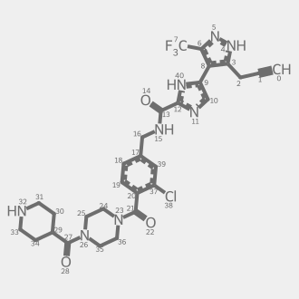 C#CCc1[nH]nc(C(F)(F)F)c1-c1cnc(C(=O)NCc2ccc(C(=O)N3CCN(C(=O)C4CCNCC4)CC3)c(Cl)c2)[nH]1